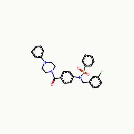 O=C(c1ccc(N(Cc2cccc(F)c2)S(=O)(=O)c2ccccc2)cc1)N1CCN(c2ccccc2)CC1